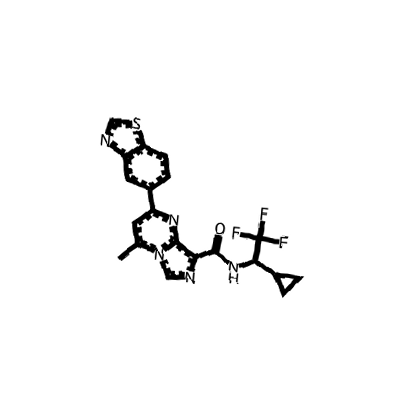 Cc1cc(-c2ccc3scnc3c2)nc2c(C(=O)NC(C3CC3)C(F)(F)F)ncn12